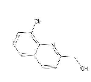 OCc1ccc2cccc(O)c2n1